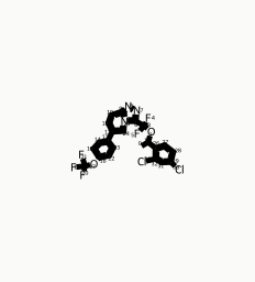 CC(OC(F)(F)c1nnc2ccc(-c3ccc(OC(F)(F)F)cc3)cn12)c1ccc(Cl)cc1Cl